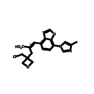 Cc1cn(-c2ccc(/C=C(\CC3(CCl)COC3)C(=O)O)c3ncoc23)cn1